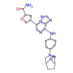 CC(C)N1C2CCC1CN(c1ccc(Nc3ncc(-c4coc(C(N)=O)c4)n4ncnc34)cc1)C2